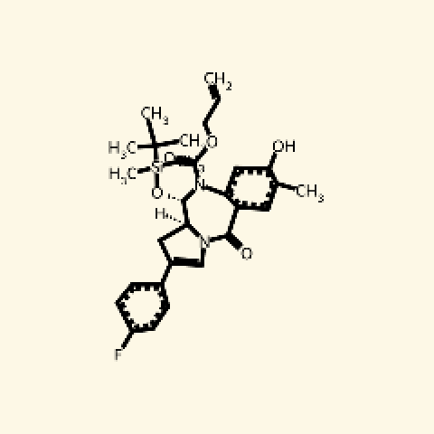 C=CCOC(=O)N1c2cc(O)c(C)cc2C(=O)N2C=C(c3ccc(F)cc3)C[C@H]2[C@@H]1O[Si](C)(C)C(C)(C)C